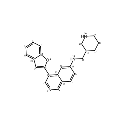 c1ccc2oc(-c3cncc4ccc(NCC5CCCNC5)cc34)cc2c1